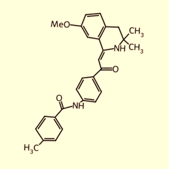 COc1ccc2c(c1)/C(=C/C(=O)c1ccc(NC(=O)c3ccc(C)cc3)cc1)NC(C)(C)C2